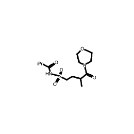 CC(C)C(=O)NS(=O)(=O)CCC(C)C(=O)N1CCOCC1